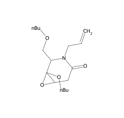 C=CCN1C(=O)CC2OC2(OCCCC)C1COCCCC